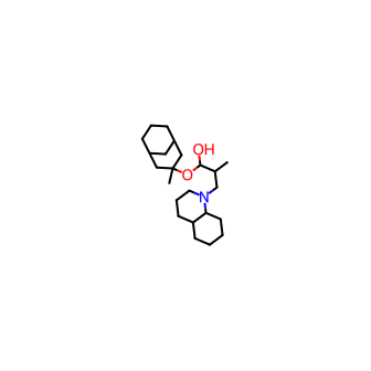 CC(CN1CCCC2CCCCC21)C(O)OC1(C)CC2CCCC(C2)C1